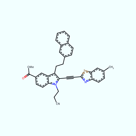 COC(=O)c1ccc2c(c1)c(CCc1ccc3ccccc3c1)c(C#Cc1nc3ccc(C)cc3s1)n2CCC#N